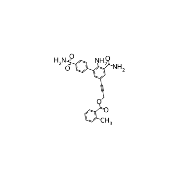 Cc1ccccc1C(=O)OCC#Cc1cc(C(N)=O)c(N)c(-c2ccc(S(N)(=O)=O)cc2)c1